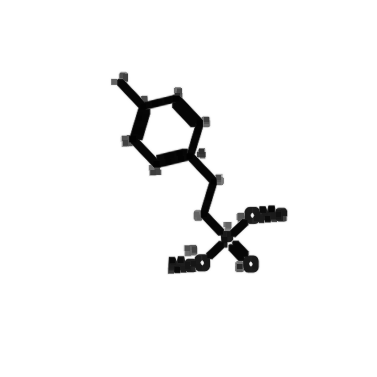 [CH2]c1ccc(CCP(=O)(OC)OC)cc1